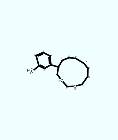 Cc1cccc(C2CCCCCCCCCCC2)c1